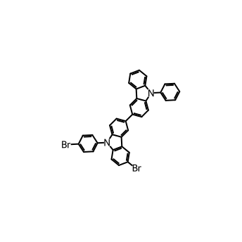 Brc1ccc(-n2c3ccc(Br)cc3c3cc(-c4ccc5c(c4)c4ccccc4n5-c4ccccc4)ccc32)cc1